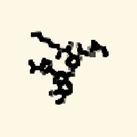 C=CCCCCN(C)C(=O)[C@@H]1C[C@H](Oc2cc(-c3nc(C(C)C)cs3)nc3c(Cl)c(OC)ccc23)C[C@H]1C(=O)N[C@@H]1C[C@H]1C=C